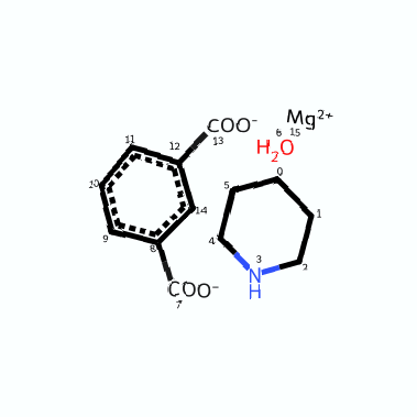 C1CCNCC1.O.O=C([O-])c1cccc(C(=O)[O-])c1.[Mg+2]